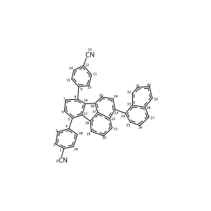 N#Cc1ccc(-c2ccc(-c3ccc(C#N)cc3)c3c2-c2cccc4c(-c5cccc6ccccc56)ccc-3c24)cc1